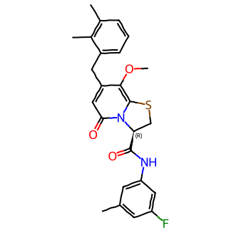 COc1c(Cc2cccc(C)c2C)cc(=O)n2c1SC[C@H]2C(=O)Nc1cc(C)cc(F)c1